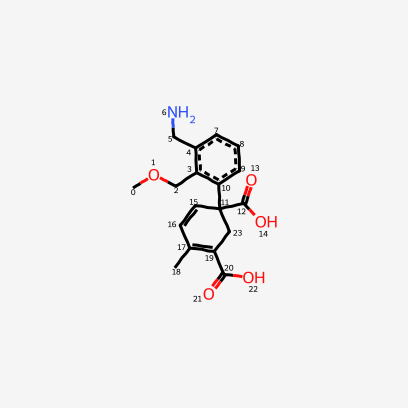 COCc1c(CN)cccc1C1(C(=O)O)C=CC(C)=C(C(=O)O)C1